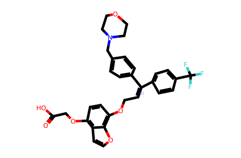 O=C(O)COc1ccc(OC/C=C(\c2ccc(CN3CCOCC3)cc2)c2ccc(C(F)(F)F)cc2)c2occc12